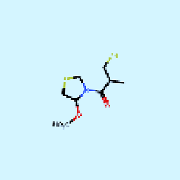 CC(CS)C(=O)N1CSCC1OC(=O)O